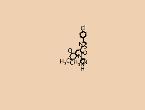 CC1(C)CC(=O)c2cc(-c3nc(-c4ccc(Cl)cc4)cs3)c(=O)n(-c3cn[nH]c3)c2C1